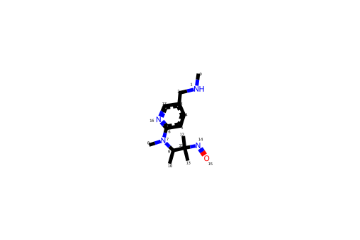 CNCc1ccc(N(C)C(C)C(C)(C)N=O)nc1